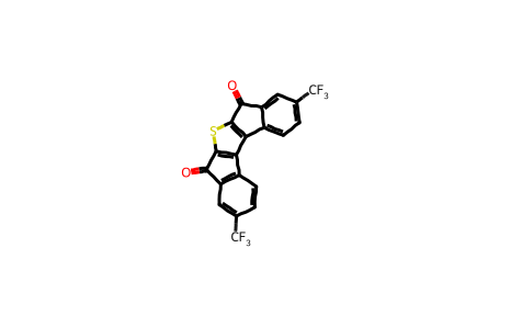 O=c1c2cc(C(F)(F)F)ccc2c2c1sc1c(=O)c3cc(C(F)(F)F)ccc3c12